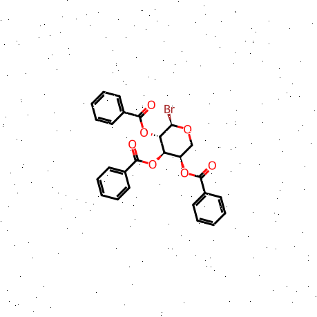 O=C(O[C@H]1[C@H](OC(=O)c2ccccc2)[C@H](OC(=O)c2ccccc2)CO[C@@H]1Br)c1ccccc1